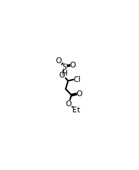 CCOC(=O)CC(Cl)O[SH](=O)=O